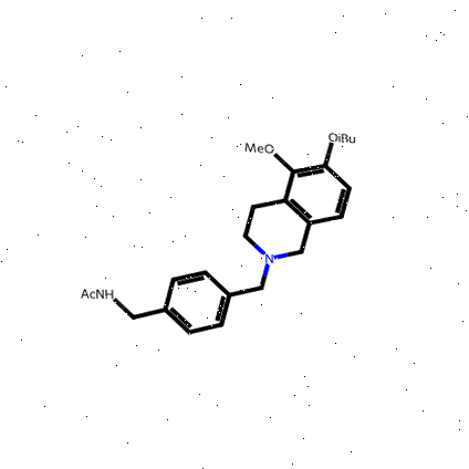 COc1c(OCC(C)C)ccc2c1CCN(Cc1ccc(CNC(C)=O)cc1)C2